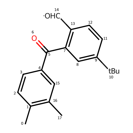 Cc1ccc(C(=O)c2cc(C(C)(C)C)ccc2[C]=O)cc1C